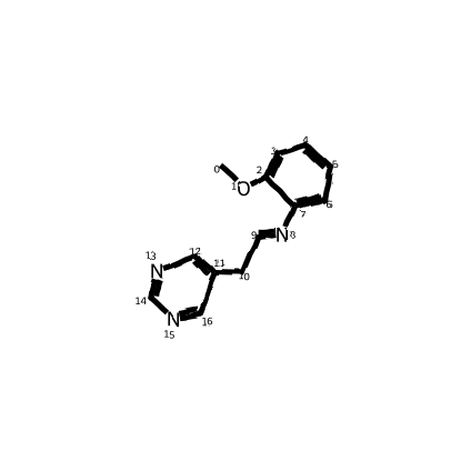 COc1ccccc1N=CCc1cncnc1